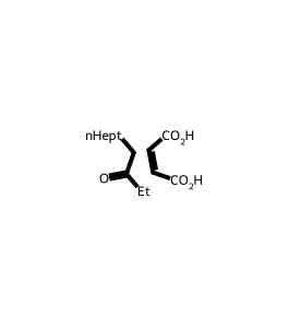 CCCCCCCCC(=O)CC.O=C(O)/C=C\C(=O)O